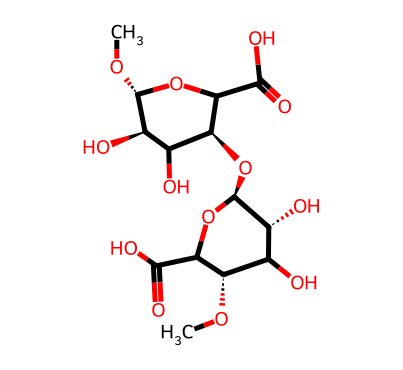 CO[C@@H]1C(C(=O)O)O[C@@H](O[C@@H]2C(C(=O)O)O[C@@H](OC)[C@H](O)C2O)[C@H](O)C1O